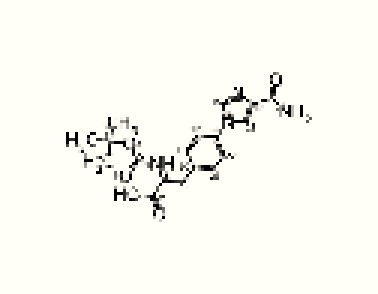 CC(C)(C)OC(=O)N[C@@H](Cc1ccc(-n2cnc(C(N)=O)c2)cc1)C(=O)O